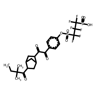 CCC(C)(C)C(=O)C1CC2CC1CC2C(=O)C(=O)c1ccc(OS(=O)(=O)C(F)(F)C(F)(F)C(F)(F)S(=O)(=O)O)cc1